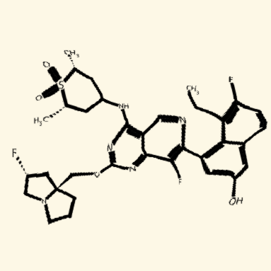 CCc1c(F)ccc2cc(O)cc(-c3ncc4c(NC5C[C@@H](C)S(=O)(=O)[C@@H](C)C5)nc(OC[C@@]56CCCN5C[C@H](F)C6)nc4c3F)c12